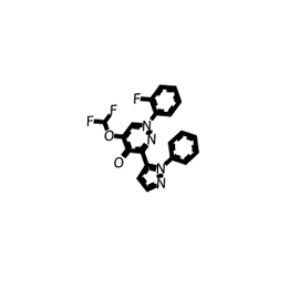 O=c1c(OC(F)F)cn(-c2ccccc2F)nc1-c1ccnn1-c1ccccc1